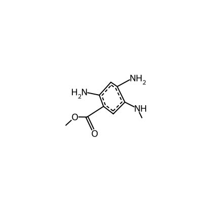 CNc1cc(C(=O)OC)c(N)cc1N